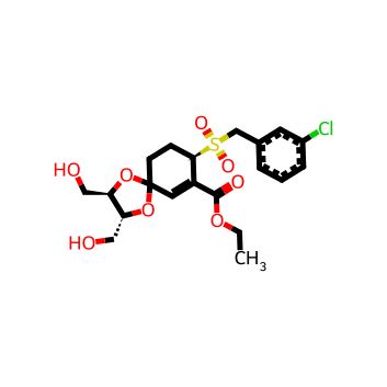 CCOC(=O)C1=CC2(CC[C@H]1S(=O)(=O)Cc1cccc(Cl)c1)O[C@H](CO)[C@@H](CO)O2